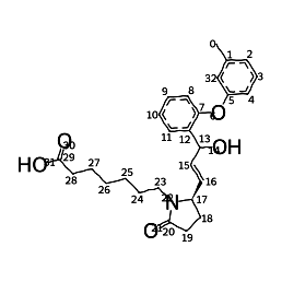 Cc1cccc(Oc2ccccc2C(O)/C=C/[C@H]2CCC(=O)N2CCCCCCC(=O)O)c1